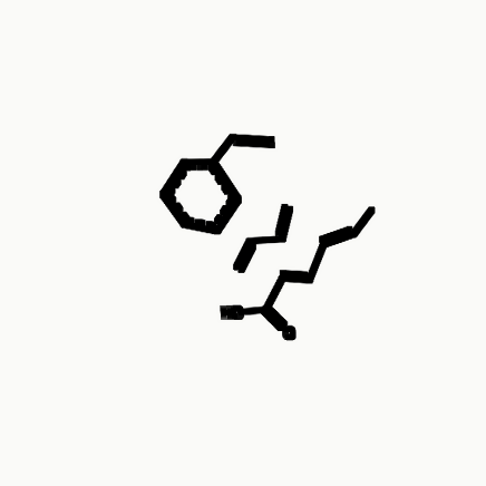 C=CC=C.C=Cc1ccccc1.CC=CC=CC(=O)O